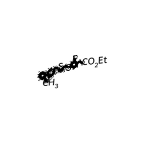 CCOC(=O)CCc1ccc(OCc2ccc(CN3CCC4(CC3)CN(C)c3ccccc34)s2)cc1F